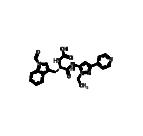 CCn1nc(-c2ccncc2)cc1NC(=O)[C@H](Cc1cn(C=O)c2ccccc12)NC(=O)O